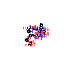 CC(c1ccccc1)C([C]=O)NC(=O)CNC(=O)C(CO)NC(=O)C(NC(=O)C(NC(=O)C(N)Cc1ccc2oc(-c3ccccc3OC3OC(CO)C(O)C(O)C3O)nc2c1)C(O)C1CNC(=N)N1)C(O)C1CN(Cc2ccccc2)C(=N)N1C1OC(CO)C(O)C(O)C1O